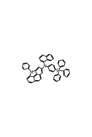 c1ccc(-n2c3cccc4ccc5cc(N(c6ccc([Si](c7ccccc7)(c7ccccc7)c7ccccc7)cc6)c6cccc7ccccc67)cc2c5c43)cc1